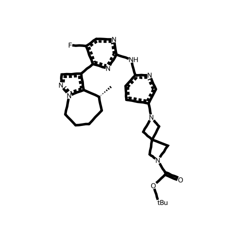 C[C@@H]1CCCCn2ncc(-c3nc(Nc4ccc(N5CC6(CN(C(=O)OC(C)(C)C)C6)C5)cn4)ncc3F)c21